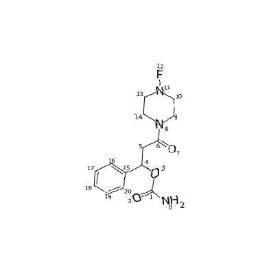 NC(=O)OC(CC(=O)N1CCN(F)CC1)c1ccccc1